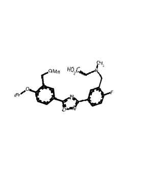 COCc1cc(-c2nc(-c3ccc(F)c(CN(C)CC(=O)O)c3)no2)ccc1OC(C)C